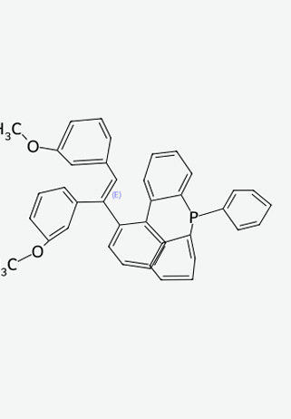 COc1cccc(/C=C(\c2cccc(OC)c2)c2ccccc2-c2ccccc2P(c2ccccc2)c2ccccc2)c1